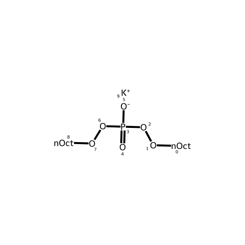 CCCCCCCCOOP(=O)([O-])OOCCCCCCCC.[K+]